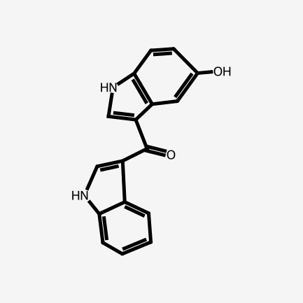 O=C(c1c[nH]c2ccccc12)c1c[nH]c2ccc(O)cc12